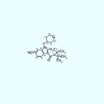 CC1(C)C(C(=O)c2cn(CC3CCOCC3)c3cc(C#N)ccc23)C1(C)C